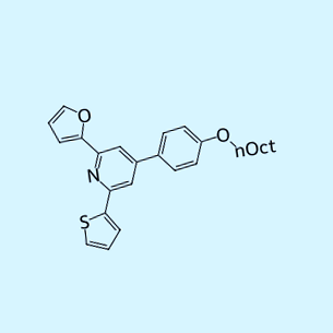 CCCCCCCCOc1ccc(-c2cc(-c3ccco3)nc(-c3cccs3)c2)cc1